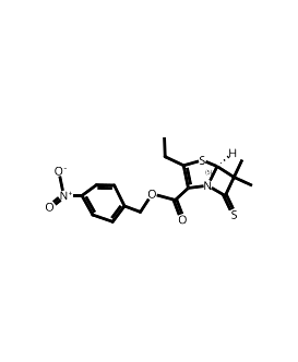 CCC1=C(C(=O)OCc2ccc([N+](=O)[O-])cc2)N2C(=S)C(C)(C)[C@@H]2S1